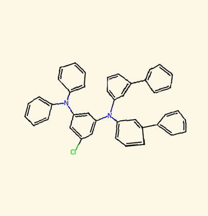 Clc1cc(N(c2ccccc2)c2ccccc2)cc(N(c2cccc(-c3ccccc3)c2)c2cccc(-c3ccccc3)c2)c1